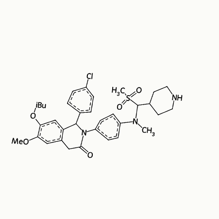 CCC(C)Oc1cc2c(cc1OC)CC(=O)N(c1ccc(N(C)C(C3CCNCC3)S(C)(=O)=O)cc1)C2c1ccc(Cl)cc1